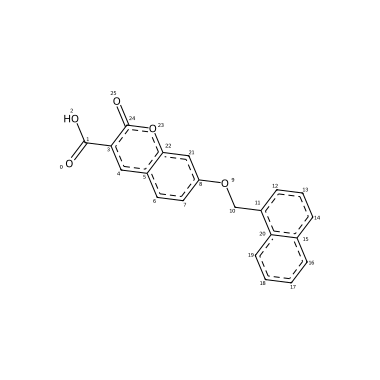 O=C(O)c1cc2ccc(OCc3cccc4ccccc34)cc2oc1=O